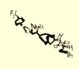 CCn1nc(Oc2ccc(C(F)(F)F)cc2)cc1-c1ccc2c(c1)CC(NS(=O)(=O)NCC(C)C)C2